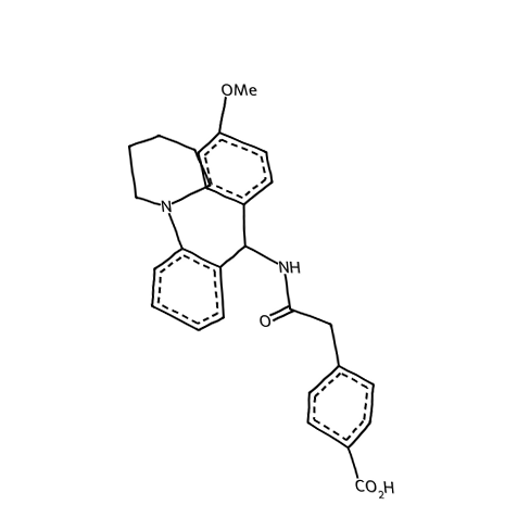 COc1ccc(C(NC(=O)Cc2ccc(C(=O)O)cc2)c2ccccc2N2CCCCC2)cc1